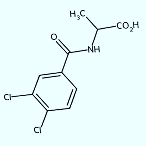 CC(NC(=O)c1ccc(Cl)c(Cl)c1)C(=O)O